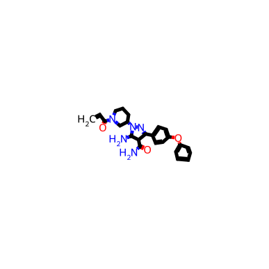 C=CC(=O)N1CCCC(N2N=C(c3ccc(Oc4ccccc4)cc3)C(C(N)=O)C2N)C1